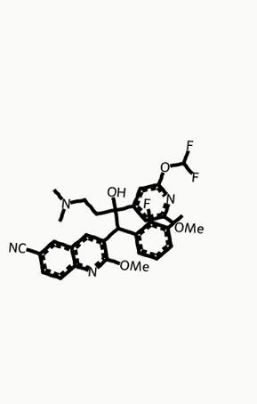 COc1cc(C(O)(CCN(C)C)C(c2cc3cc(C#N)ccc3nc2OC)c2cccc(C)c2F)cc(OC(F)F)n1